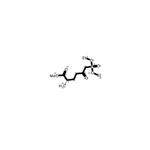 CCOP(=O)(CC(=O)CC[C@H](C)C(=O)OC)OCC